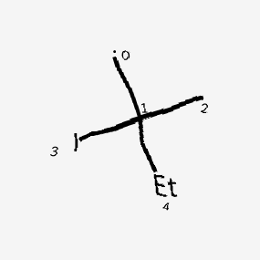 [CH2]C(C)(I)CC